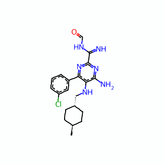 C[C@H]1CC[C@H](CNc2c(N)nc(C(=N)NC=O)nc2-c2cccc(Cl)c2)CC1